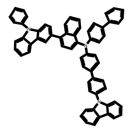 c1ccc(-c2ccc(N(c3ccc(-c4ccc(-n5c6ccccc6c6ccccc65)cc4)cc3)c3ccc(-c4ccc5c(c4)c4ccccc4n5-c4ccccc4)c4ccccc34)cc2)cc1